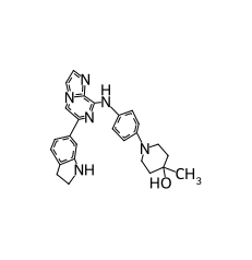 CC1(O)CCN(c2ccc(Nc3nc(-c4ccc5c(c4)NCC5)cn4ccnc34)cc2)CC1